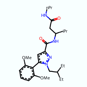 CCCNC(=O)CC(NC(=O)c1cc(-c2c(OC)cccc2OC)n(CC(CC)CC)n1)C(C)C